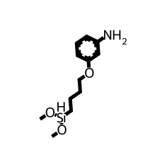 CO[SiH](CCCCOc1cccc(N)c1)OC